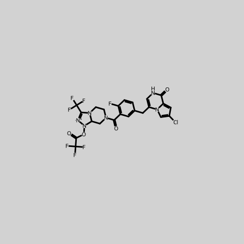 O=C(c1cc(Cc2c[nH]c(=O)c3cc(Cl)cn23)ccc1F)N1CCN2C(C(F)(F)F)=[N+]N(OC(=O)C(F)(F)F)C2C1